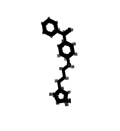 S=C(c1ccccc1)c1ccc(OCCCc2c[nH]cn2)cc1